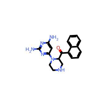 Nc1cc(N2CCNCC2C(=O)c2cccc3ccccc23)nc(N)n1